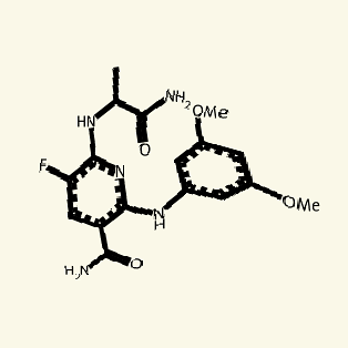 COc1cc(Nc2nc(NC(C)C(N)=O)c(F)cc2C(N)=O)cc(OC)c1